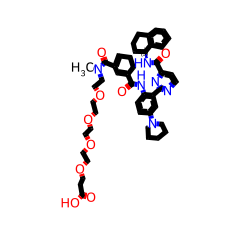 CN(CCOCCOCCOCCOCCC(=O)O)C(=O)C1=CCCC(C(=O)Nc2ccc(N3CCCCC3)cc2-c2nccc(C(=O)N[C@H]3CCCc4ccccc43)n2)=C1